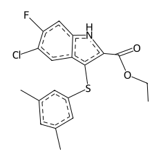 CCOC(=O)c1[nH]c2cc(F)c(Cl)cc2c1Sc1cc(C)cc(C)c1